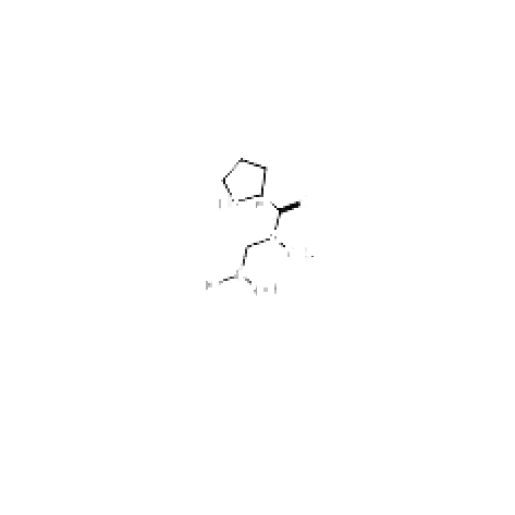 CN(CB(O)O)C(=S)[C@@H]1CCCN1